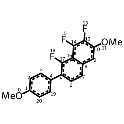 COc1ccc(-c2ccc3cc(OC)c(F)c(F)c3c2F)cc1